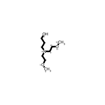 COCCN(CCCO)CCOC